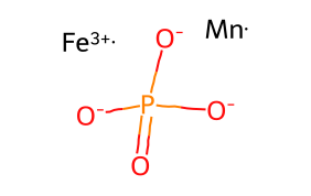 O=P([O-])([O-])[O-].[Fe+3].[Mn]